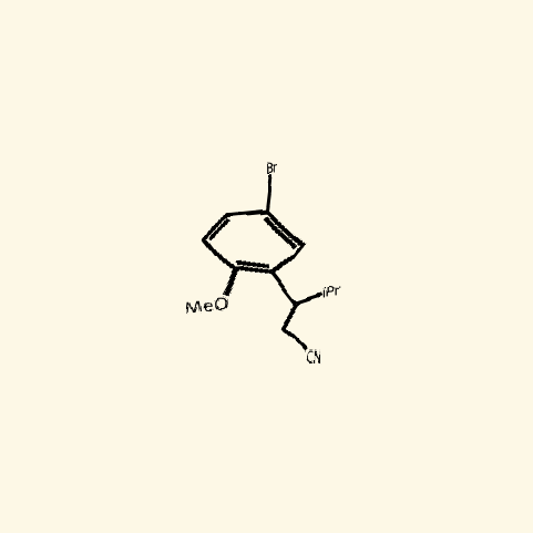 COc1ccc(Br)cc1C(CC#N)C(C)C